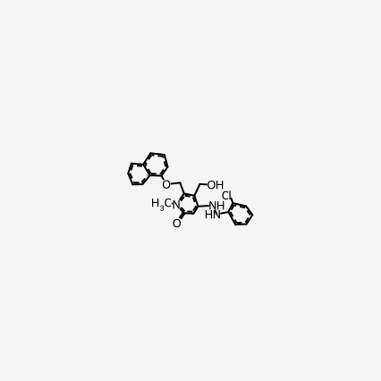 Cn1c(COc2cccc3ccccc23)c(CO)c(NNc2ccccc2Cl)cc1=O